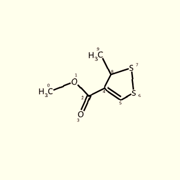 COC(=O)C1=CSSC1C